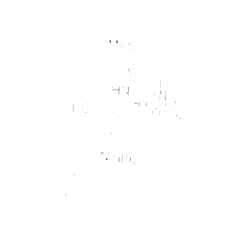 CCCCN(CCc1ccccc1)Cc1ccc(C(=O)N[C@@H](CCSC)C(=O)ONS(=O)(=O)C(C)C)c(-c2ccccc2C)c1